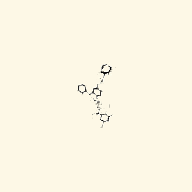 Cc1cc(C)cc(C(=O)N(O)NS(=O)(=O)c2ccc(OCc3ccccc3)cc2Cc2ccccc2)c1